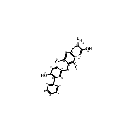 CC(Oc1cc(Cl)c(Cc2ccc(O)c(-c3ccccc3)c2)c(Cl)c1)C(=O)O